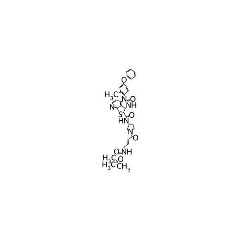 Cc1cc(Oc2ccccc2)ccc1N1C(=O)NC2c3c1ccnc3SC2C(=O)NC1CCN(C(=O)C=CCNC(=O)OC(C)(C)C)C1